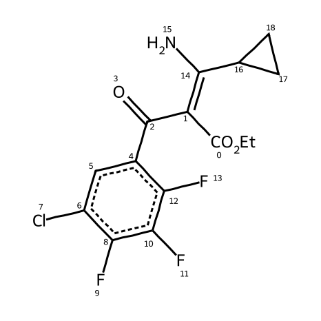 CCOC(=O)C(C(=O)c1cc(Cl)c(F)c(F)c1F)=C(N)C1CC1